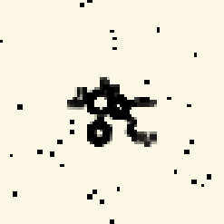 CCCCC1(CC)CN(c2ccccc2)c2cc(SCC(=O)O)c(OC)cc2S(=O)(=O)C1